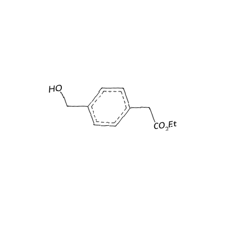 CCOC(=O)Cc1ccc(CO)cc1